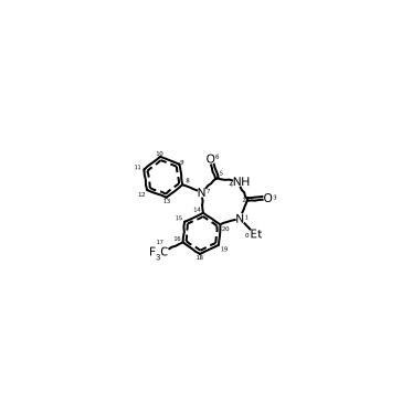 CCN1C(=O)NC(=O)N(c2ccccc2)c2cc(C(F)(F)F)ccc21